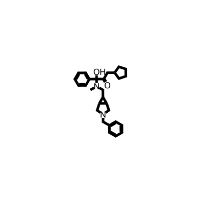 CN(CC1C2CN(Cc3ccccc3)CC21)C(O)(C(=O)CC1CCCC1)c1ccccc1